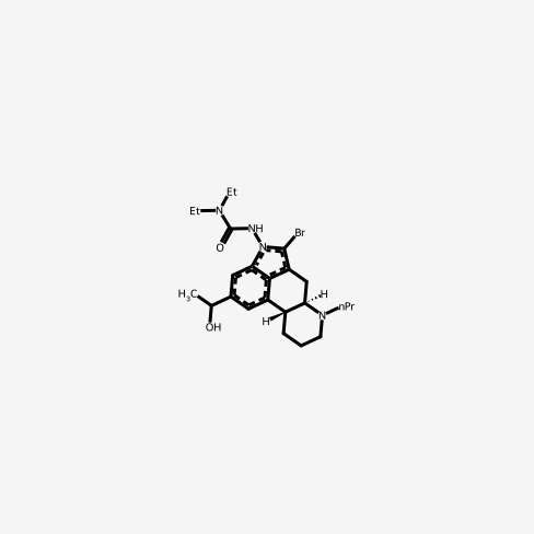 CCCN1CCC[C@@H]2c3cc(C(C)O)cc4c3c(c(Br)n4NC(=O)N(CC)CC)C[C@H]21